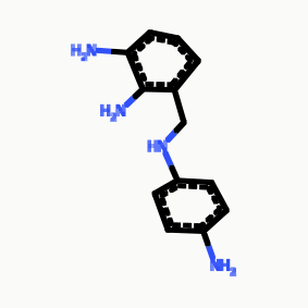 Nc1ccc(NCc2cccc(N)c2N)cc1